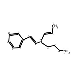 CC=CN(C=Cc1ccccc1)CCCN